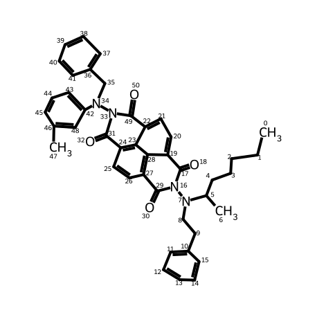 CCCCCC(C)N(CCc1ccccc1)N1C(=O)c2ccc3c4c(ccc(c24)C1=O)C(=O)N(N(Cc1ccccc1)c1cccc(C)c1)C3=O